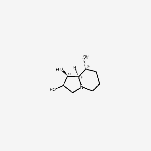 OC1CN2CCC[C@@H](O)[C@@H]2[C@@H]1O